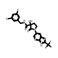 O=C(NCc1cc(F)cc(Cl)c1)C1(O)CCN(c2cnc3[nH]c(C(F)(F)F)nc3c2)C1=O